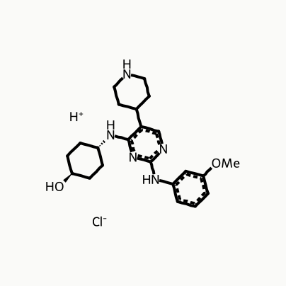 COc1cccc(Nc2ncc(C3CCNCC3)c(N[C@H]3CC[C@H](O)CC3)n2)c1.[Cl-].[H+]